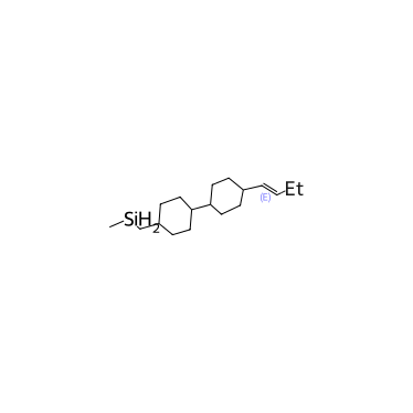 CC/C=C/C1CCC(C2CCC(C[SiH2]C)CC2)CC1